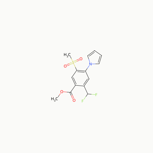 COC(=O)c1cc(S(C)(=O)=O)c(-n2cccc2)cc1C(F)F